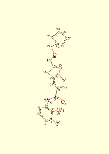 CC(=O)c1cccc(NC(=O)c2ccc3c(c2)CC(COCc2ccccc2)O3)c1O